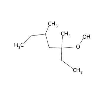 CCC(C)CC(C)(CC)OO